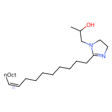 CCCCCCCC/C=C\CCCCCCCCC1=NCCN1CC(C)O